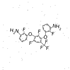 Nc1cccc(Oc2c(F)cc(C(F)(F)F)c(Oc3cccc(N)c3F)c2F)c1F